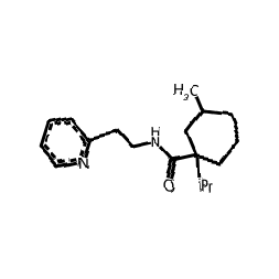 CC1CCCC(C(=O)NCCc2ccccn2)(C(C)C)C1